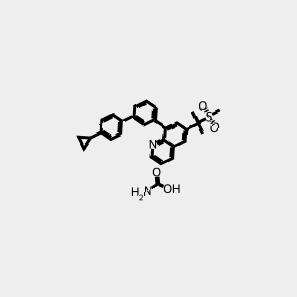 CC(C)(c1cc(-c2cccc(-c3ccc(C4CC4)cc3)c2)c2ncccc2c1)S(C)(=O)=O.NC(=O)O